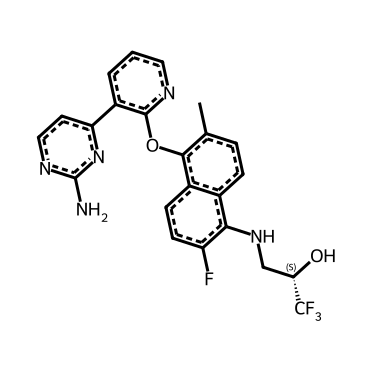 Cc1ccc2c(NC[C@H](O)C(F)(F)F)c(F)ccc2c1Oc1ncccc1-c1ccnc(N)n1